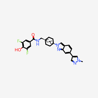 Cn1cc(-c2ccc3cn([C@]45CC[C@](CNC(=O)c6cc(F)c(O)c(F)c6)(CC4)CC5)nc3c2)cn1